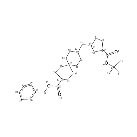 CC(C)(C)OC(=O)N1CC[C@@H](CN2CCC3(CC2)CCN(C(=O)OCc2ccccc2)CC3)C1